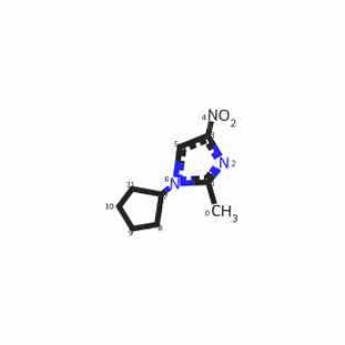 Cc1nc([N+](=O)[O-])cn1C1CCCC1